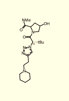 CNC(=O)C1CC(O)CN1C(=O)[C@@H](n1cc(CCN2CCCCC2)nn1)C(C)(C)C